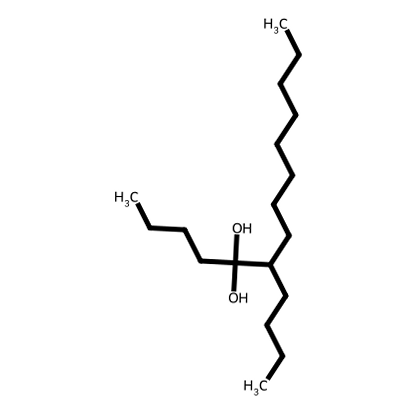 CCCCCCCCC(CCCC)C(O)(O)CCCC